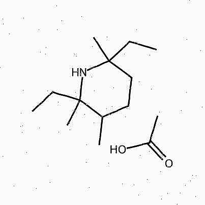 CC(=O)O.CCC1(C)CCC(C)C(C)(CC)N1